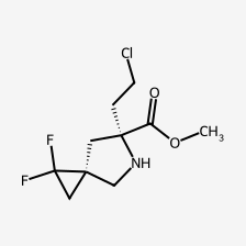 COC(=O)[C@]1(CCCl)C[C@]2(CN1)CC2(F)F